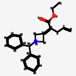 C=CCC(C(=O)OCC)=C1CN(C(c2ccccc2)c2ccccc2)C1